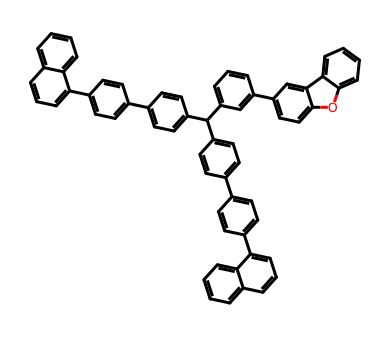 c1cc(-c2ccc3oc4ccccc4c3c2)cc(C(c2ccc(-c3ccc(-c4cccc5ccccc45)cc3)cc2)c2ccc(-c3ccc(-c4cccc5ccccc45)cc3)cc2)c1